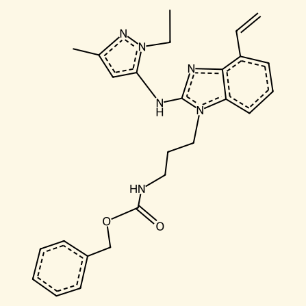 C=Cc1cccc2c1nc(Nc1cc(C)nn1CC)n2CCCNC(=O)OCc1ccccc1